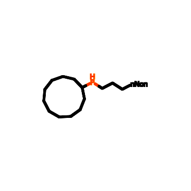 CCCCCCCCCCCCPC1CCCCCCCCCC1